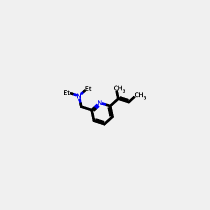 C/C=C(\C)c1cccc(CN(CC)CC)n1